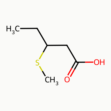 CCC(CC(=O)O)SC